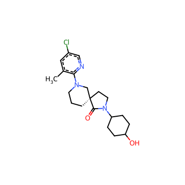 Cc1cc(Cl)cnc1N1CCC[C@@]2(CCN(C3CCC(O)CC3)C2=O)C1